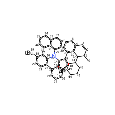 CC1C=Cc2cccc(-c3cc4cc-4c3N(c3cc(C(C)(C)C)ccc3-c3ccccc3)c3cccc4ccccc34)c2C1C1CCCCC1